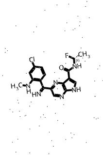 CNc1cc(Cl)ccc1C(=N)c1cnc2[nH]cc(C(=O)N[C@@H](C)F)c2n1